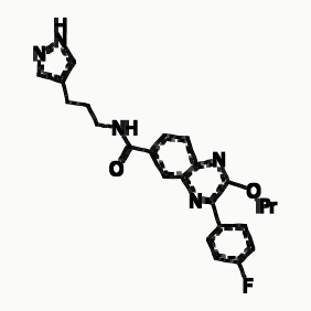 CC(C)Oc1nc2ccc(C(=O)NCCCc3cn[nH]c3)cc2nc1-c1ccc(F)cc1